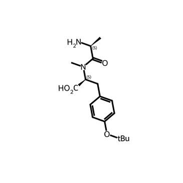 C[C@H](N)C(=O)N(C)[C@@H](Cc1ccc(OC(C)(C)C)cc1)C(=O)O